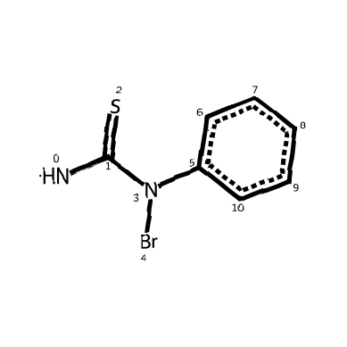 [NH]C(=S)N(Br)c1ccccc1